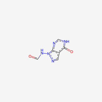 O=CNn1ncc2c(=O)[nH]cnc21